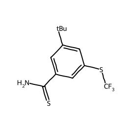 CC(C)(C)c1cc(SC(F)(F)F)cc(C(N)=S)c1